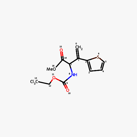 C=C(c1cccs1)C(NC(=O)OCC(Cl)(Cl)Cl)C(=O)OC